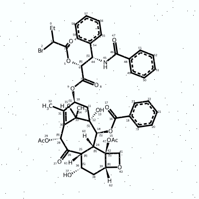 CCC(Br)C(=O)O[C@@H](C(=O)O[C@H]1C[C@@]2(O)[C@@H](OC(=O)c3ccccc3)[C@H]3[C@@H](C(=O)[C@H](OC(C)=O)C(=C1C)C2(C)C)[C@@H](O)C[C@H]1OC[C@@]31OC(C)=O)[C@@H](NC(=O)c1ccccc1)c1ccccc1